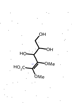 CO/C(C(=O)O)=C(\OC)C(O)C(O)CO